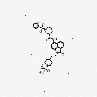 CS(=O)(=O)N1CCC(CCN2C(=O)c3cccc4c(NC(=O)C5CCCN(S(=O)(=O)c6cccs6)C5)ccc2c34)CC1